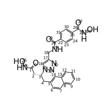 O=C(C[C@@H](Cc1ccc2ccccc2c1)n1cc(CNC(=O)c2ccc(C(=O)NO)cc2)nn1)NO